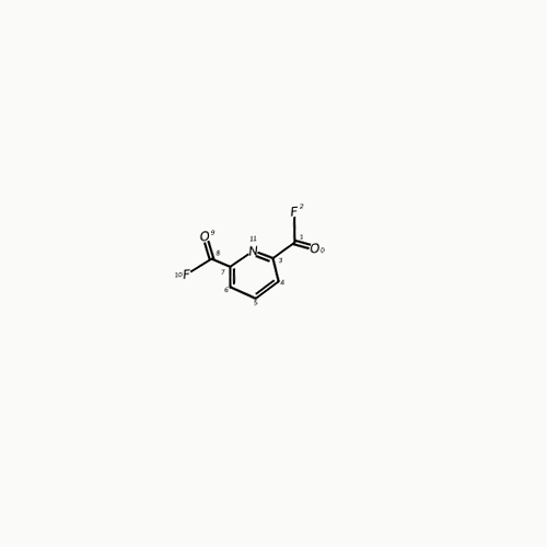 O=C(F)c1cccc(C(=O)F)n1